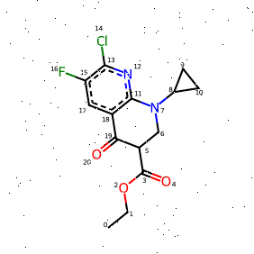 CCOC(=O)C1CN(C2CC2)c2nc(Cl)c(F)cc2C1=O